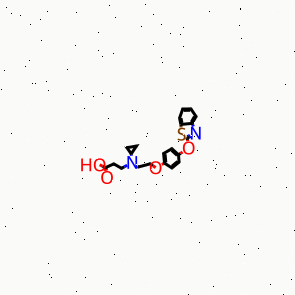 O=C(O)CCN(CCOc1ccc(Oc2nc3ccccc3s2)cc1)C1CC1